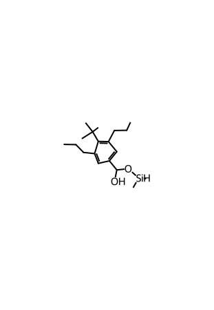 CCCc1cc(C(O)O[SiH](C)C)cc(CCC)c1C(C)(C)C